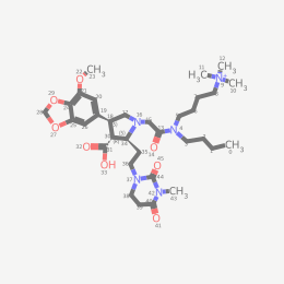 CCCCN(CCCC[N+](C)(C)C)C(=O)CN1C[C@H](c2cc(OC)c3c(c2)OCO3)[C@@H](C(=O)O)[C@@H]1CCN1CCC(=O)N(C)C1=O